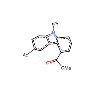 CCCn1c2ccc(C(C)=O)cc2c2c(C(=O)OC)cccc21